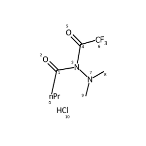 CCCC(=O)N(C(=O)C(F)(F)F)N(C)C.Cl